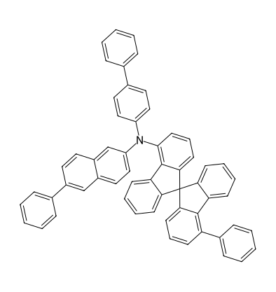 c1ccc(-c2ccc(N(c3ccc4cc(-c5ccccc5)ccc4c3)c3cccc4c3-c3ccccc3C43c4ccccc4-c4c(-c5ccccc5)cccc43)cc2)cc1